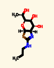 CCCNC1=N[C@@H]2[C@@H](O)[C@H](O)[C@@H]([C@H](C)O)O[C@@H]2S1